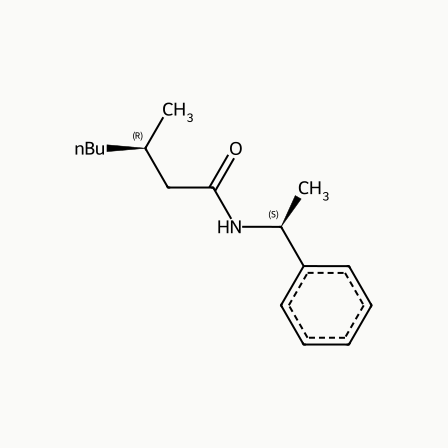 CCCC[C@@H](C)CC(=O)N[C@@H](C)c1ccccc1